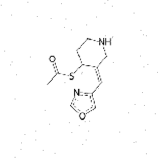 CC(=O)SC1CCNCC1=Cc1cocn1